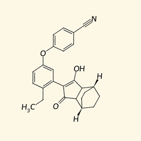 CCc1ccc(Oc2ccc(C#N)cc2)cc1C1=C(O)C2C(C1=O)[C@H]1CC[C@@H]2CC1